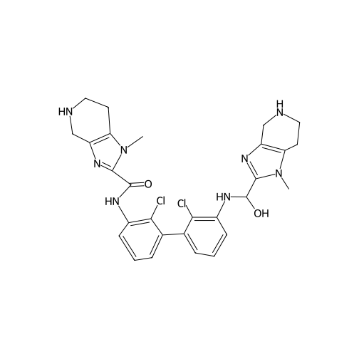 Cn1c(C(=O)Nc2cccc(-c3cccc(NC(O)c4nc5c(n4C)CCNC5)c3Cl)c2Cl)nc2c1CCNC2